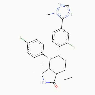 CC[C@@]12CC[C@@H](c3ccc(-c4ncnn4C)cc3Cl)[C@H](c3ccc(Cl)cc3)[C@@H]1[C@@H](C)NC2=O